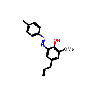 C=CCc1cc(/N=N/c2ccc(C)cc2)c(O)c(OC)c1